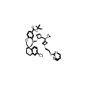 CO[C@@H](C1=C[C@@H](CCSc2ncccn2)C1)[C@@H]1CC[C@H]1CN1C[C@@]2(CCCc3cc(Cl)ccc32)COc2ccc(C(=O)OC(C)(C)C)cc21